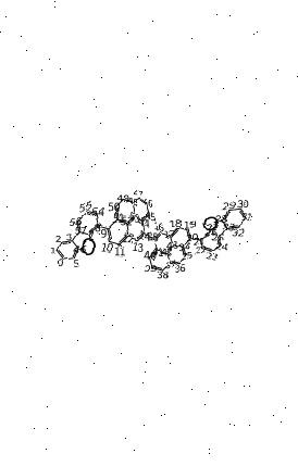 c1ccc2c(c1)oc1c(-c3ccc4cc(-c5cc6ccc(-c7cccc8c7oc7ccccc78)c7ccc8cccc5c8c67)c5cccc6ccc3c4c65)cccc12